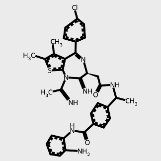 CC(=N)N1C(=N)[C@H](CC(=O)NC(C)c2ccc(C(=O)Nc3ccccc3N)cc2)N=C(c2ccc(Cl)cc2)c2c1sc(C)c2C